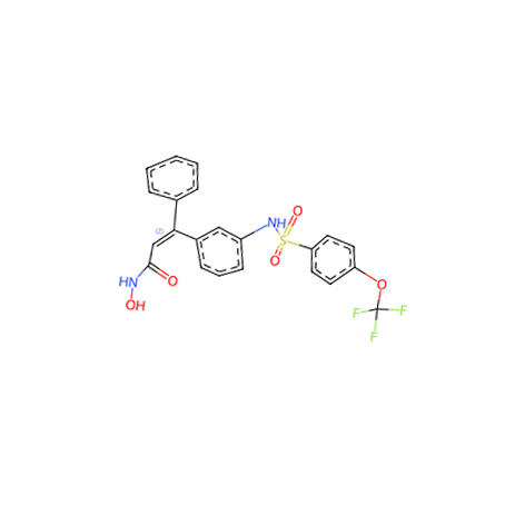 O=C(/C=C(/c1ccccc1)c1cccc(NS(=O)(=O)c2ccc(OC(F)(F)F)cc2)c1)NO